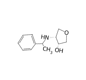 CC(N[C@@H]1COC[C@@H]1O)c1ccccc1